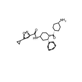 N[C@H]1CC[C@H](C(=O)N2CCC(NC(=O)c3cc(C4CC4)on3)C[C@H]2c2ccccc2)CC1